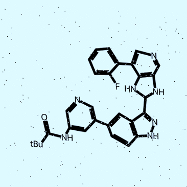 CC(C)(C)C(=O)Nc1cncc(-c2ccc3[nH]nc(C4Nc5cncc(-c6ccccc6F)c5N4)c3c2)c1